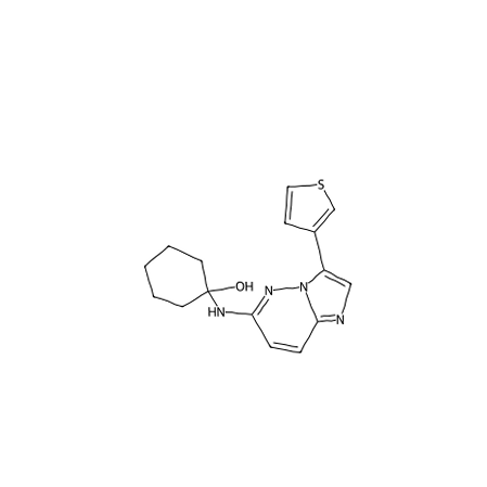 OC1(Nc2ccc3ncc(-c4ccsc4)n3n2)CCCCC1